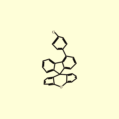 Clc1ccc(-c2cccc3c2-c2ccccc2C32c3ccccc3Oc3ccccc32)cc1